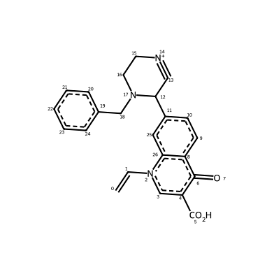 C=Cn1cc(C(=O)O)c(=O)c2ccc(C3C#[N+]CCN3Cc3ccccc3)cc21